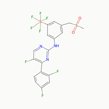 CS(=O)(=O)Cc1cc(Nc2ncc(F)c(-c3ccc(F)cc3F)n2)cc(S(F)(F)(F)(F)F)c1